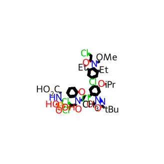 CC(C)Oc1cc(-n2nc(C(C)(C)C)oc2=O)c(Cl)cc1Cl.CC1COc2ccccc2N1C(=O)C(Cl)Cl.CCc1cccc(CC)c1N(COC)C(=O)CCl.O=C(O)CNCP(=O)(O)O